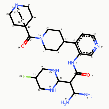 NC(N)C(C(=O)Nc1cnccc1C1CCN(C(=O)C23CCN(CC2)CC3)CC1)C1NCC(F)CN1